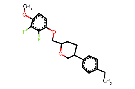 CCc1ccc(C2CCC(COc3ccc(OC)c(F)c3F)OC2)cc1